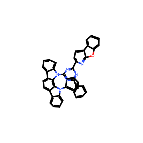 c1ccc(-c2nc(-c3ccc4c(n3)oc3ccccc34)nc(-n3c4ccccc4c4ccc5c6ccccc6n(-c6ccccc6)c5c43)n2)cc1